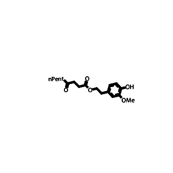 CCCCCC(=O)CCC(=O)OCCc1ccc(O)c(OC)c1